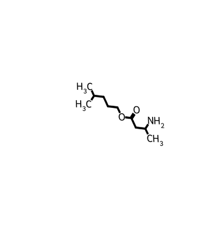 CC(C)CCCOC(=O)CC(C)N